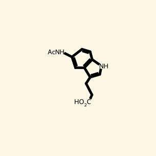 CC(=O)Nc1ccc2[nH]cc(CCC(=O)O)c2c1